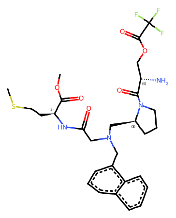 COC(=O)[C@H](CCSC)NC(=O)CN(Cc1cccc2ccccc12)C[C@@H]1CCCN1C(=O)[C@@H](N)COC(=O)C(F)(F)F